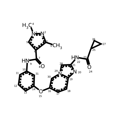 Cc1nn(C)cc1C(=O)Nc1cccc(Oc2ccc3nc(NC(=O)C4CC4)cn3c2)c1